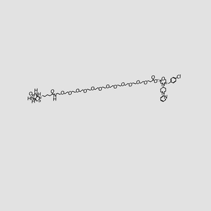 O=C(CCCC[C@@H]1SC[C@H]2NC(=O)N[C@H]12)NCCOCCOCCOCCOCCOCCOCCOCCOCCOCCOCCOCCOCCC(=O)OC[C@H]1CN(C2CCN(c3ccccn3)CC2)[C@@H](Cc2ccc(Cl)cc2)CO1